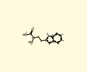 O=C(O)N(O)CCc1cc2ccccc2s1